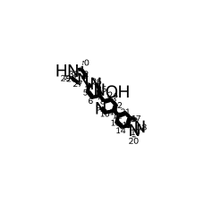 C[C@@H]1CN(c2ccc(-c3ncc(-c4ccc5c(cnn5C)c4)cc3O)nn2)C[C@H](C)N1